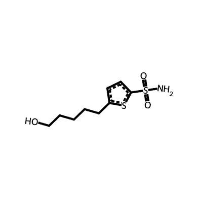 NS(=O)(=O)c1ccc(CCCCCO)s1